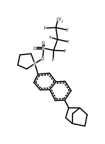 O=S(=O)(OS1(c2ccc3cc(C4CC5CCC4C5)ccc3c2)CCCC1)C(F)(F)C(F)(F)C(F)(F)C(F)(F)F